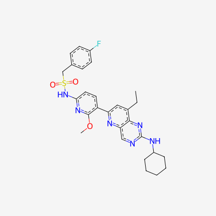 CCc1cc(-c2ccc(NS(=O)(=O)Cc3ccc(F)cc3)nc2OC)nc2cnc(NC3CCCCC3)nc12